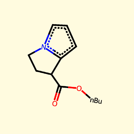 CCCCOC(=O)C1CCn2cccc21